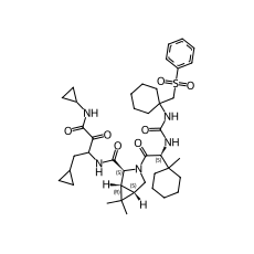 CC1([C@H](NC(=O)NC2(CS(=O)(=O)c3ccccc3)CCCCC2)C(=O)N2C[C@H]3[C@@H]([C@H]2C(=O)NC(CC2CC2)C(=O)C(=O)NC2CC2)C3(C)C)CCCCC1